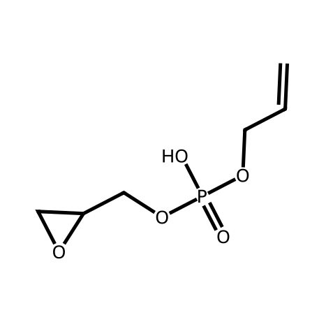 C=CCOP(=O)(O)OCC1CO1